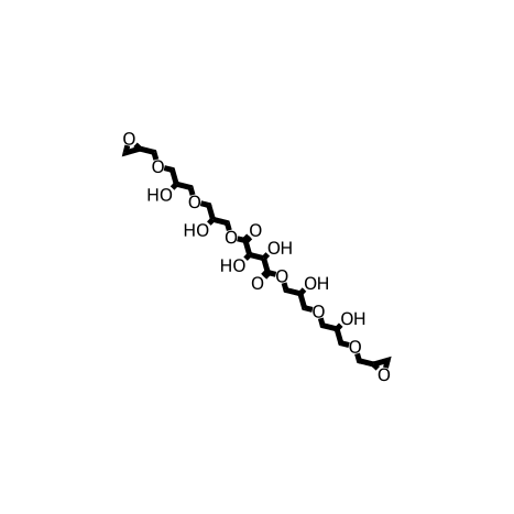 O=C(OCC(O)COCC(O)COCC1CO1)C(O)C(O)C(=O)OCC(O)COCC(O)COCC1CO1